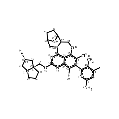 Cc1cc(N)nc(-c2c(Cl)c3c4c(nc(OC[C@@]56CCCN5C[C@H](F)C6)nc4c2F)N2CC4CCC(N4)C2CO3)c1C(F)(F)F